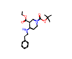 CCOC(=O)C1CN(C(=O)OC(C)(C)C)CCC1NCCc1ccccc1